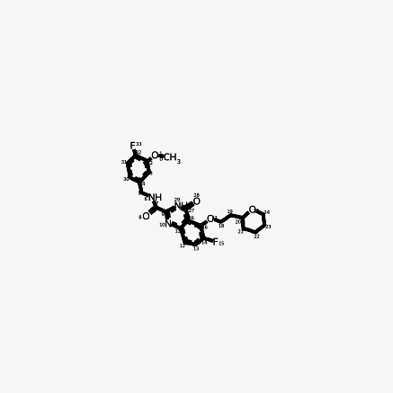 COc1cc(CNC(=O)c2nc3ccc(F)c(OCCC4CCCCO4)c3c(=O)[nH]2)ccc1F